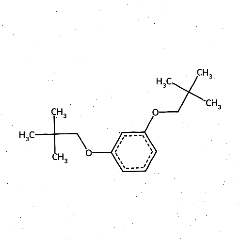 CC(C)(C)COc1[c]c(OCC(C)(C)C)ccc1